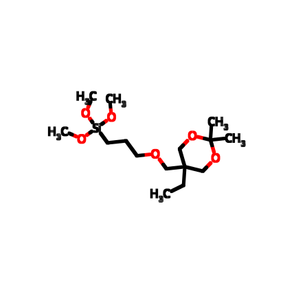 CCC1(COCCC[Si](OC)(OC)OC)COC(C)(C)OC1